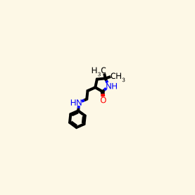 CC1(C)CC(CCNc2ccccc2)C(=O)N1